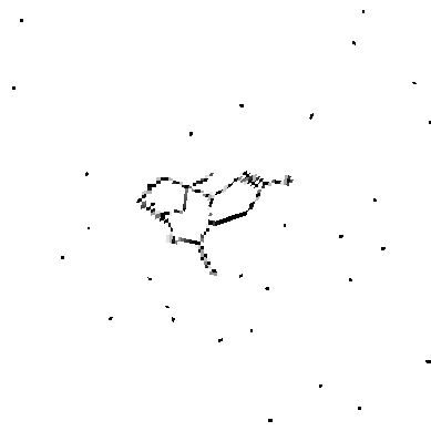 O=C1NC2CC[C@@H](C2)N2C=C(Br)CC12